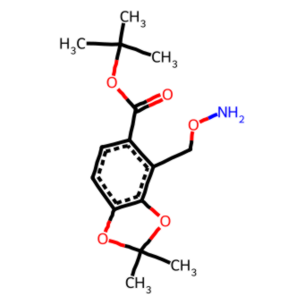 CC(C)(C)OC(=O)c1ccc2c(c1CON)OC(C)(C)O2